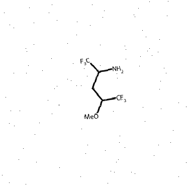 COC(CC(N)C(F)(F)F)C(F)(F)F